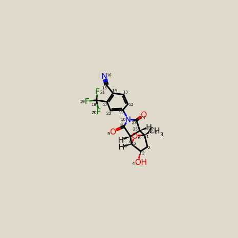 C[C@@]12C[C@@H](O)[C@@H](O1)[C@@H]1C(=O)N(c3ccc(C#N)c(C(F)(F)F)c3)C(=O)[C@@H]12